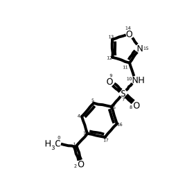 CC(=O)c1ccc(S(=O)(=O)Nc2ccon2)cc1